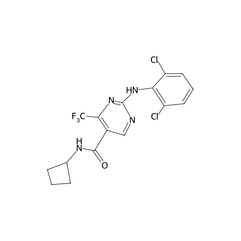 O=C(NC1CCC1)c1cnc(Nc2c(Cl)cccc2Cl)nc1C(F)(F)F